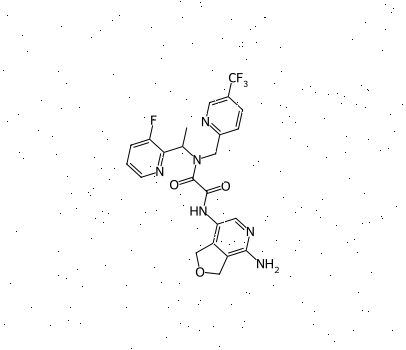 CC(c1ncccc1F)N(Cc1ccc(C(F)(F)F)cn1)C(=O)C(=O)Nc1cnc(N)c2c1COC2